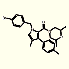 Cc1ccc(-c2c(C)cn(Cc3ccc(Br)cc3)c2C(=O)N2CC(C)OC(C)C2)cc1